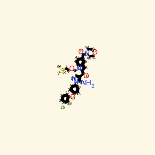 CS(C)(C)CCOCn1c(C(=O)c2cnn(-c3ccc(Oc4cccc(F)c4F)cc3)c2N)cc2cc(C(=O)N3CCOCC3)ccc21